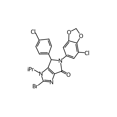 CC(C)n1c(Br)nc2c1C(c1ccc(Cl)cc1)N(c1cc(Cl)c3c(c1)OCO3)C2=O